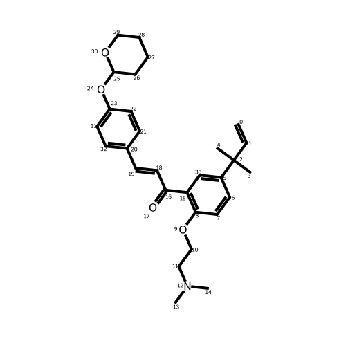 C=CC(C)(C)c1ccc(OCCN(C)C)c(C(=O)C=Cc2ccc(OC3CCCCO3)cc2)c1